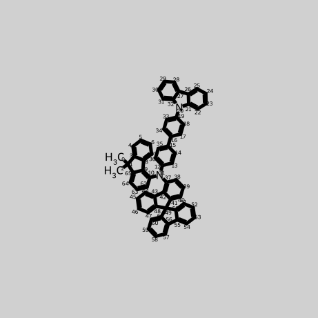 CC1(C)c2ccccc2-c2c(N(c3ccc(-c4ccc(-n5c6ccccc6c6ccccc65)cc4)cc3)c3cccc4c3-c3ccccc3C43c4ccccc4-c4ccccc43)cccc21